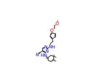 COCCOc1ccc(CCNc2ncc(C#N)c(N[C@@H]3CC[C@H](C)C(C)(C)C3)n2)cc1